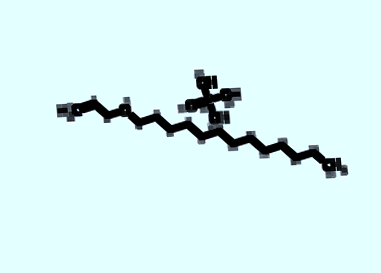 C=CCOCCCCCCCCCCCCC.O=P(O)(O)O